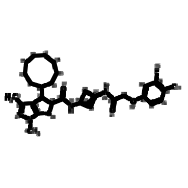 Cc1nn(C)c2c1C(C1CCCCCCCC1)C(C(=O)NC13CC(NC(=O)COc4ccc(Cl)c(F)c4)(C1)C3)S2